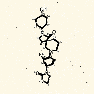 O=C1OCCN1c1ccc(N2CCC[C@]3(CCN([C@H]4CC[C@H](O)CC4)C3=O)C2)c(F)c1